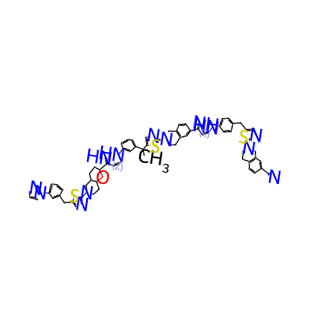 CC(c1cccc(N/C=C\C(=N)C2CCC3CN(c4ncc(Cc5cccc(-n6cccn6)c5)s4)CCC3O2)c1)c1cnc(N2CCc3cc(C(=N)/C=C\Nc4ccc(Cc5cnc(N6CCc7ccc(C#N)cc7C6)s5)cc4)ccc3C2)s1